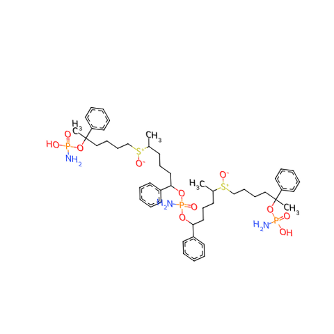 CC(CCCC(OP(N)(=O)OC(CCCC(C)[S+]([O-])CCCCC(C)(OP(N)(=O)O)c1ccccc1)c1ccccc1)c1ccccc1)[S+]([O-])CCCCC(C)(OP(N)(=O)O)c1ccccc1